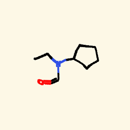 CCN(C=O)C1CCCC1